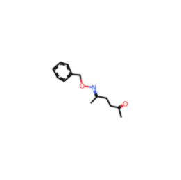 CC(=O)CC/C(C)=N/OCc1ccccc1